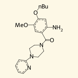 CCCCOc1cc(N)c(C(=O)N2CCN(c3ccccn3)CC2)cc1OC